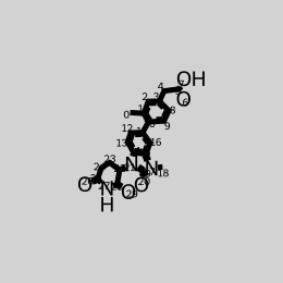 Cc1cc(CC(=O)O)ccc1-c1ccc2c(c1)n(C)c(=O)n2C1CCC(=O)NC1=O